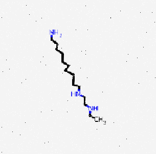 CCNCCNCCCCCCCCCCN